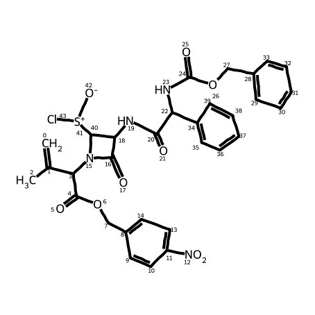 C=C(C)C(C(=O)OCc1ccc([N+](=O)[O-])cc1)N1C(=O)C(NC(=O)C(NC(=O)OCc2ccccc2)c2ccccc2)C1[S+]([O-])Cl